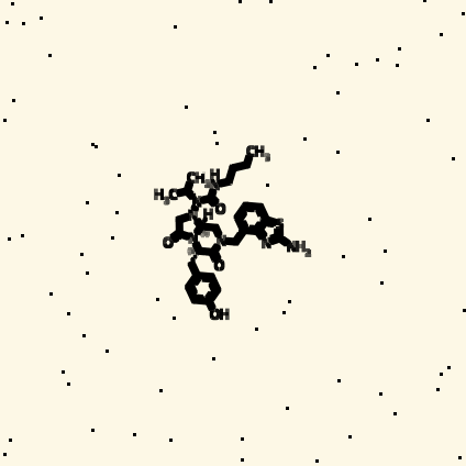 CCCCNC(=O)N(C(C)C)N1CC(=O)N2[C@@H](Cc3ccc(O)cc3)C(=O)N(Cc3cccc4sc(N)nc34)C[C@@H]21